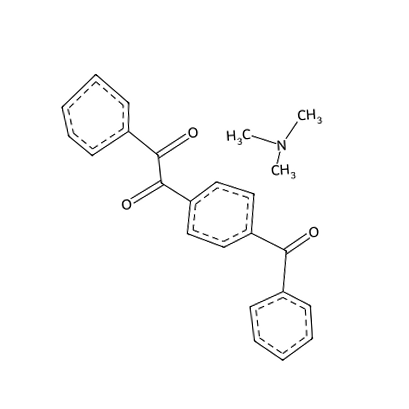 CN(C)C.O=C(C(=O)c1ccc(C(=O)c2ccccc2)cc1)c1ccccc1